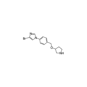 Brc1cn(-c2ccc(COC3CCNC3)cc2)cn1